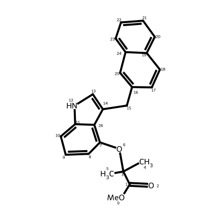 COC(=O)C(C)(C)Oc1cccc2[nH]cc(Cc3ccc4ccccc4c3)c12